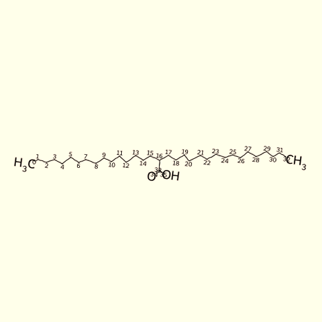 CCCCCCCCCCCCCCCCC(CCCCCCCCCCCCCCCC)C(=O)O